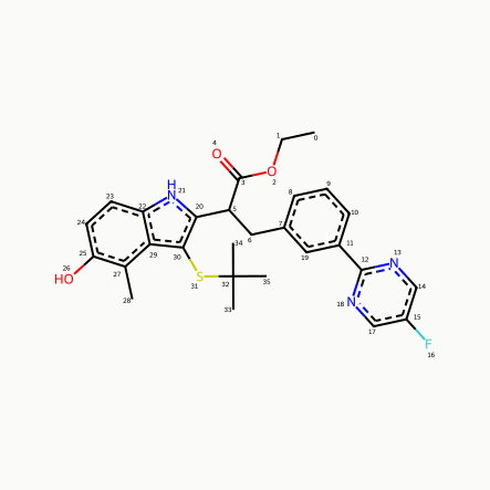 CCOC(=O)C(Cc1cccc(-c2ncc(F)cn2)c1)c1[nH]c2ccc(O)c(C)c2c1SC(C)(C)C